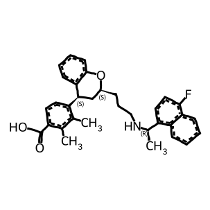 Cc1c(C(=O)O)ccc([C@@H]2C[C@H](CCCN[C@H](C)c3ccc(F)c4ccccc34)Oc3ccccc32)c1C